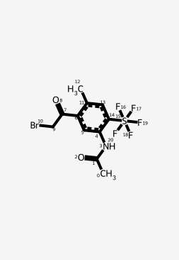 CC(=O)Nc1cc(C(=O)CBr)c(C)cc1S(F)(F)(F)(F)F